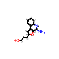 Nc1nc2ccccc2c2cc(CCCO)oc12